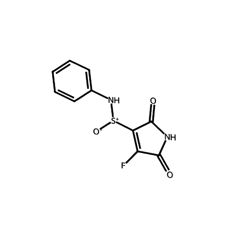 O=C1NC(=O)C([S+]([O-])Nc2ccccc2)=C1F